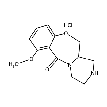 COc1cccc2c1C(=O)N1CCNCC1CO2.Cl